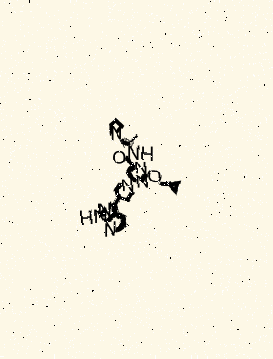 C[C@H](CN1CCCC1)NC(=O)c1cc(N2CCC(c3n[nH]c4ncccc34)CC2)nc(OCC2CC2)n1